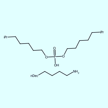 CC(C)CCCCCOP(=O)(O)OCCCCCC(C)C.CCCCCCCCCCCCCCN